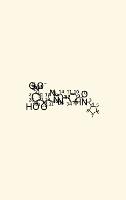 O=C(NCC1CCCC1)c1ccc(-c2cc3ncc(C(=O)c4cc([N+](=O)[O-])ccc4O)cn3n2)cc1